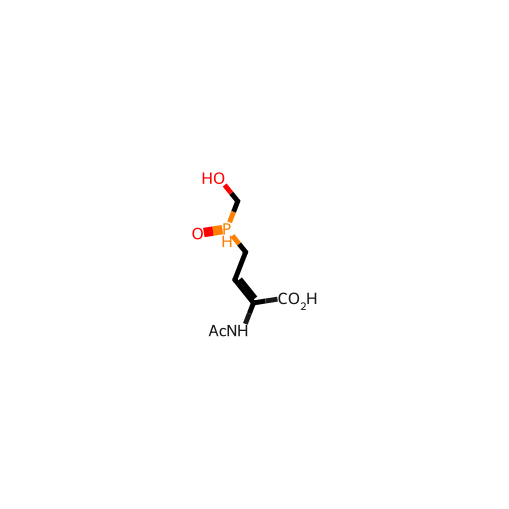 CC(=O)NC(=CC[PH](=O)CO)C(=O)O